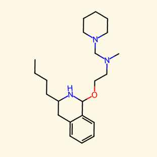 CCCCC1Cc2ccccc2C(OCCN(C)CN2CCCCC2)N1